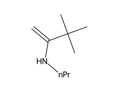 C=C(NCCC)C(C)(C)C